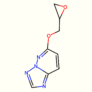 c1nc2ccc(OCC3CO3)nn2n1